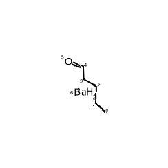 CCCCC=O.[BaH2]